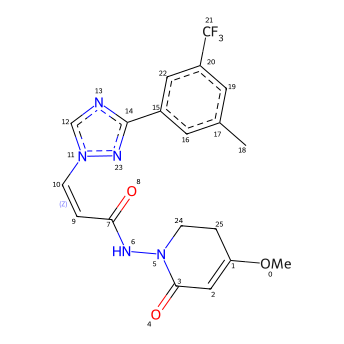 COC1=CC(=O)N(NC(=O)/C=C\n2cnc(-c3cc(C)cc(C(F)(F)F)c3)n2)CC1